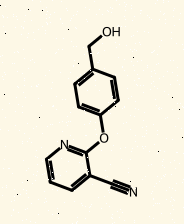 N#Cc1cccnc1Oc1ccc(CO)cc1